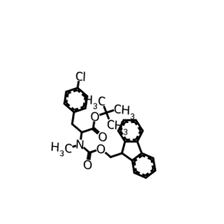 CN(C(=O)OCC1c2ccccc2-c2ccccc21)C(Cc1ccc(Cl)cc1)C(=O)OC(C)(C)C